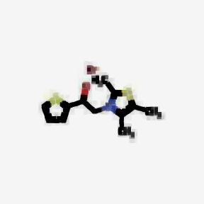 Cc1sc(C)[n+](CC(=O)c2cccs2)c1C.[Br-]